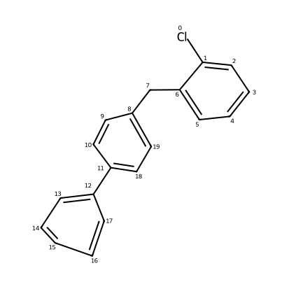 Clc1ccccc1Cc1ccc(-c2ccccc2)cc1